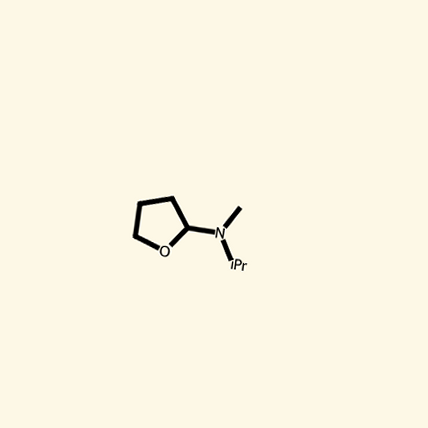 CC(C)N(C)C1CCCO1